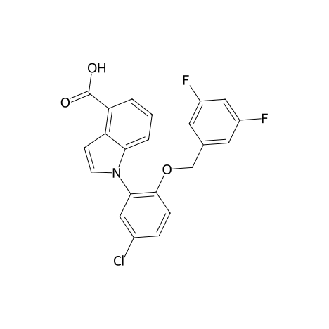 O=C(O)c1cccc2c1ccn2-c1cc(Cl)ccc1OCc1cc(F)cc(F)c1